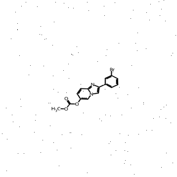 COC(=O)Oc1ccc2nc(-c3cccc(Br)c3)cn2c1